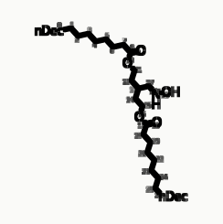 CCCCCCCCCCCCCCCCCC(=O)OCCC(CCOC(=O)CCCCCCCCCCCCCCCCC)CNO